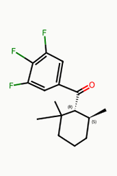 C[C@H]1CCCC(C)(C)[C@@H]1C(=O)c1cc(F)c(F)c(F)c1